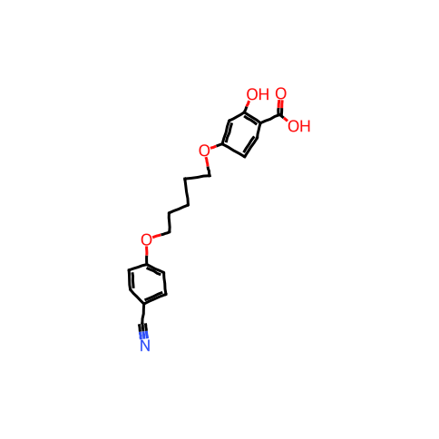 N#Cc1ccc(OCCCCCOc2ccc(C(=O)O)c(O)c2)cc1